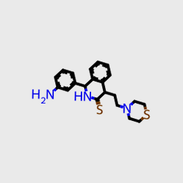 Nc1cccc(C2NC(=S)C(CCN3CCSCC3)c3ccccc32)c1